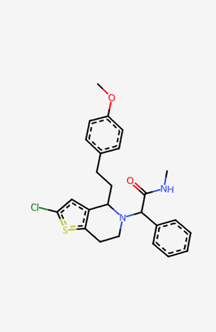 CNC(=O)C(c1ccccc1)N1CCc2sc(Cl)cc2C1CCc1ccc(OC)cc1